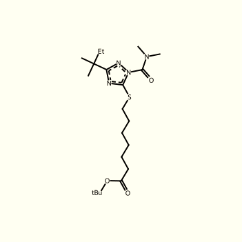 CCC(C)(C)c1nc(SCCCCCCC(=O)OC(C)(C)C)n(C(=O)N(C)C)n1